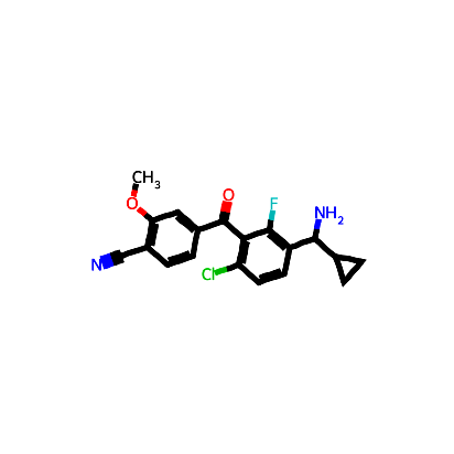 COc1cc(C(=O)c2c(Cl)ccc(C(N)C3CC3)c2F)ccc1C#N